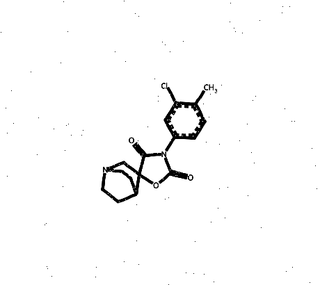 Cc1ccc(N2C(=O)OC3(CN4CCC3CC4)C2=O)cc1Cl